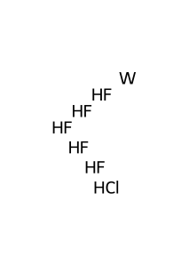 Cl.F.F.F.F.F.[W]